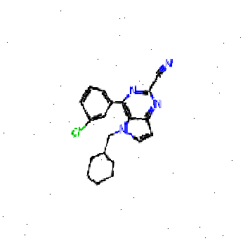 N#Cc1nc(-c2cccc(Cl)c2)c2c(ccn2CC2CCCCC2)n1